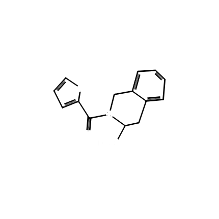 CCOC(=O)C1Cc2ccccc2CN1C(=O)c1cccs1